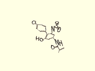 C=C(C)C(=O)Nc1cc(O)c(-c2ccc(Cl)cc2)c(N=S(=O)=O)c1